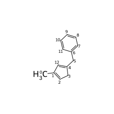 CC1=CCC(Cc2ccccc2)=C1